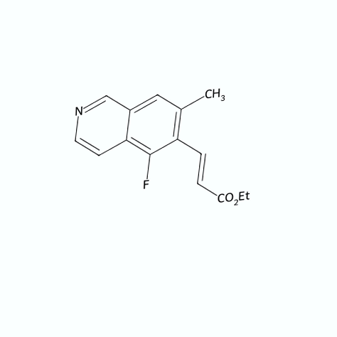 CCOC(=O)/C=C/c1c(C)cc2cnccc2c1F